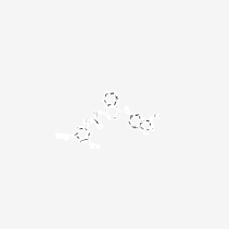 CCOC(=O)c1nc(NC(=O)N[C@H]2CC[C@@H](Oc3ccc4nnc(C(C)CC)n4c3)c3ccccc32)cc(C(C)(C)C)n1